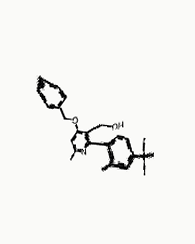 Cc1cc(OCc2ccccc2)c(CO)c(-c2ccc(C(C)(C)C)cc2C)n1